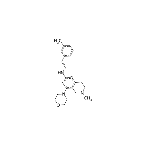 Cc1cccc(/C=N/Nc2nc3c(c(N4CCOCC4)n2)CN(C)CC3)c1